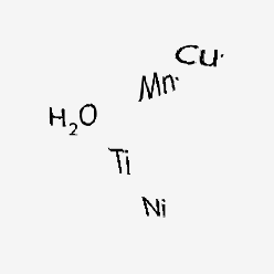 O.[Cu].[Mn].[Ni].[Ti]